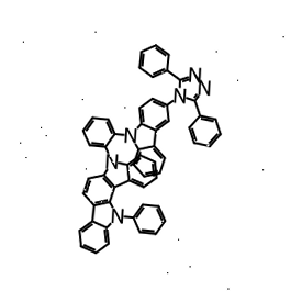 c1ccc(-c2nnc(-c3ccccc3)n2-c2ccc3c(c2)c2ccccc2n3-c2ccccc2-n2c3ccccc3c3c2ccc2c4ccccc4n(-c4ccccc4)c23)cc1